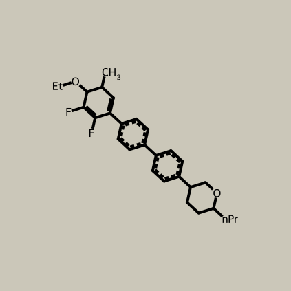 CCCC1CCC(c2ccc(-c3ccc(C4=CC(C)C(OCC)C(F)=C4F)cc3)cc2)CO1